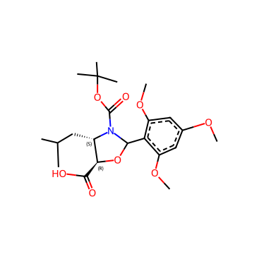 COc1cc(OC)c(C2O[C@@H](C(=O)O)[C@H](CC(C)C)N2C(=O)OC(C)(C)C)c(OC)c1